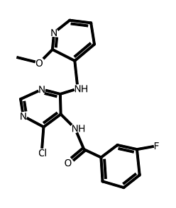 COc1ncccc1Nc1ncnc(Cl)c1NC(=O)c1cccc(F)c1